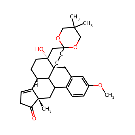 COc1ccc2c(c1)C[C@]13CCC4(C[C@]1(O)CC[C@H]1C5=CCC(=O)[C@@]5(C)CC2C13)OCC(C)(C)CO4